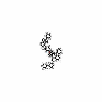 c1ccc(-c2cccc(CCC(c3ccc(-c4ccc5c(c4)oc4ccc6oc(-c7ccccc7)nc6c45)cc3)c3cccc4c5ccccc5n(-c5ccccc5)c34)c2)cc1